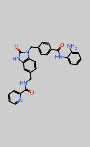 Nc1ccccc1NC(=O)c1ccc(Cn2c(=O)[nH]c3cc(CNC(=O)c4ccccn4)ccc32)cc1